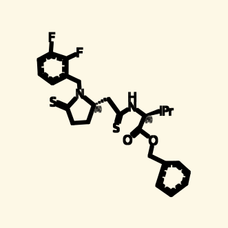 CC(C)[C@H](NC(=S)C[C@@H]1CCC(=S)N1Cc1cccc(F)c1F)C(=O)OCc1ccccc1